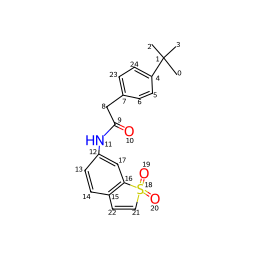 CC(C)(C)c1ccc(CC(=O)Nc2ccc3c(c2)S(=O)(=O)C=C3)cc1